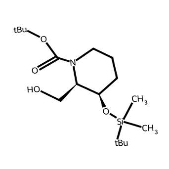 CC(C)(C)OC(=O)N1CCC[C@@H](O[Si](C)(C)C(C)(C)C)[C@H]1CO